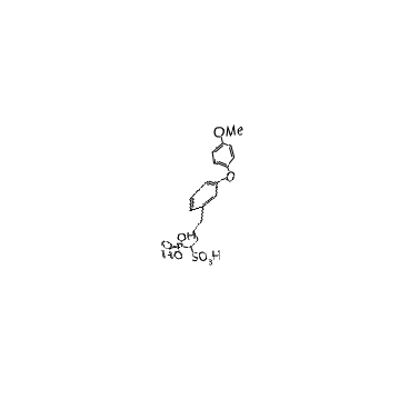 COc1ccc(Oc2cccc(CCCC(P(=O)(O)O)S(=O)(=O)O)c2)cc1